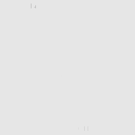 CC(CO)CC(C)c1ccc(Br)cc1